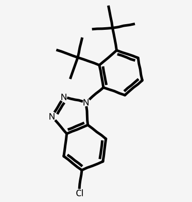 CC(C)(C)c1cccc(-n2nnc3cc(Cl)ccc32)c1C(C)(C)C